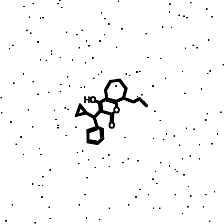 CCCC1CCCCc2c1oc(=O)c(C(c1ccccc1)C1CC1)c2O